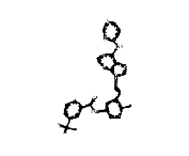 Cc1ccc(NC(=O)c2cccc(C(F)(F)F)c2)cc1C=Cn1cnc2c(Nc3ccncn3)ncnc21